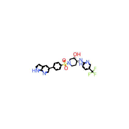 O=S(=O)(c1ccc(-c2cnc3[nH]ccc3c2)cc1)N1CC[C@@H](Nc2ccc(C(F)(F)F)cn2)[C@@H](O)C1